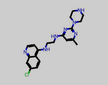 Cc1cc(NCCNc2ccnc3cc(Cl)ccc23)nc(N2CCNCC2)n1